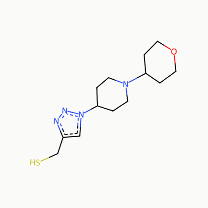 SCc1cn(C2CCN(C3CCOCC3)CC2)nn1